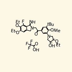 CCOc1cc2c(c(F)c1OCC)C(=N)N(CC(=O)c1cc(N3C[C@H](OCC)[C@@H](O)C3)c(OC)c(C(C)(C)C)c1)C2.O=C(O)C(F)(F)F